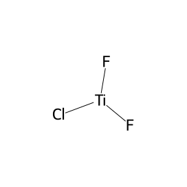 [F][Ti]([F])[Cl]